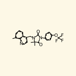 Cc1cccc2c(CN3C(=O)N(c4ccc(OC(F)(F)F)cc4)C(=O)C3(C)C)ccnc12